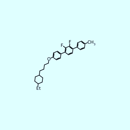 CCC1CCC(CCCCOc2ccc(-c3ccc(-c4ccc(C)cc4)c(F)c3F)cc2)CC1